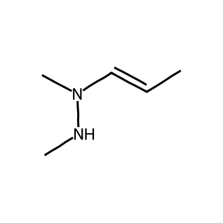 CC=CN(C)NC